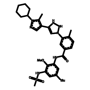 COc1c(NC(=O)c2ccc(C)c(N3C=C(c4cnn(C5CCCCC5)c4C)NN3)c2)cc(C(C)(C)C)cc1NS(C)(=O)=O